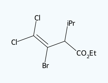 CCOC(=O)C(C(Br)=C(Cl)Cl)C(C)C